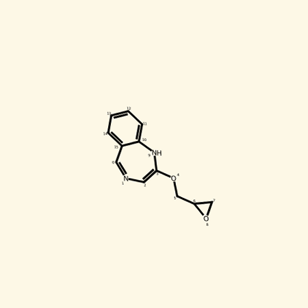 C1=NC=C(OCC2CO2)Nc2ccccc21